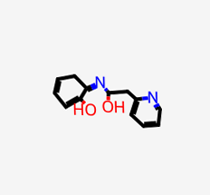 OC1=CC=CCC1=NC(O)Cc1ccccn1